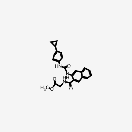 COC(=O)CNC(=O)c1cc2ccccc2cc1NC(=O)Nc1ccc(C2CC2)cc1